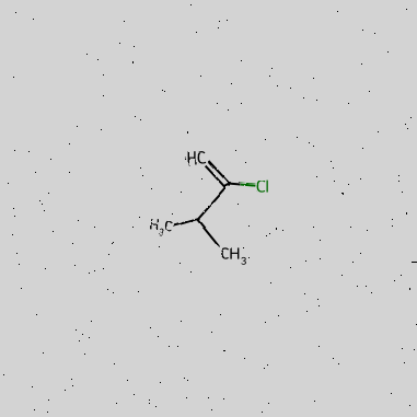 [CH]=C(Cl)C(C)C